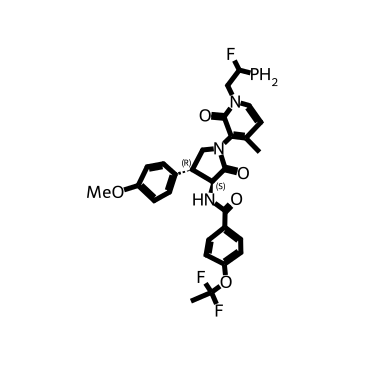 COc1ccc([C@@H]2CN(c3c(C)ccn(CC(F)P)c3=O)C(=O)[C@H]2NC(=O)c2ccc(OC(C)(F)F)cc2)cc1